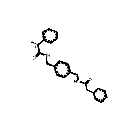 C[C@H](C(=O)NCc1ccc(CNC(=O)Cc2ccccc2)cc1)c1ccccc1